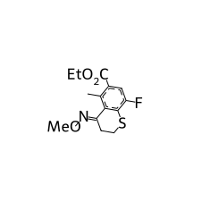 CCOC(=O)c1cc(F)c2c(c1C)/C(=N/OC)CCS2